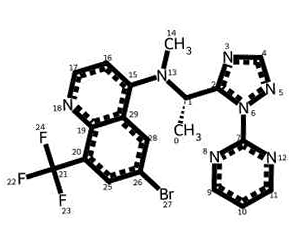 C[C@@H](c1ncnn1-c1ncccn1)N(C)c1ccnc2c(C(F)(F)F)cc(Br)cc12